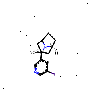 N#CC1(c2cncc(I)c2)CC2CC[C@@H](C1)N2C(=O)O